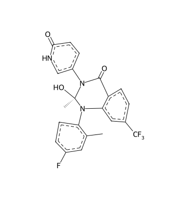 Cc1cc(F)ccc1N1c2cc(C(F)(F)F)ccc2C(=O)N(c2ccc(=O)[nH]c2)[C@]1(C)O